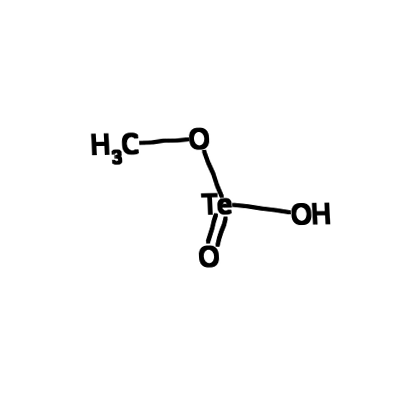 CO[Te](=O)O